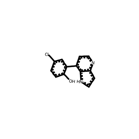 Oc1ccc(Cl)cc1-c1ccnc2cc[nH]c12